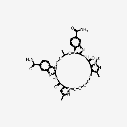 CCn1nc(C)c2c1C(=O)Nc1nc3cc(C(N)=O)ccc3n1CC(C)CCn1c(nc3cc(C(N)=O)ccc31)NC(=O)c1cc(C)nn1CCCCC2